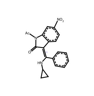 CC(=O)N1C(=O)/C(=C(\NC2CC2)c2ccccc2)c2ccc([N+](=O)[O-])cc21